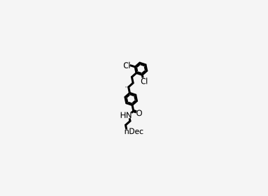 CCCCCCCCCCCCNC(=O)c1ccc([CH]CCc2c(Cl)cccc2Cl)cc1